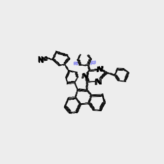 C/C=C\C(=C/C)c1nc(-c2ccccc2)nc(-c2c(-c3ccc(-c4cccc(C#N)c4)cc3)c3ccccc3c3ccccc23)n1